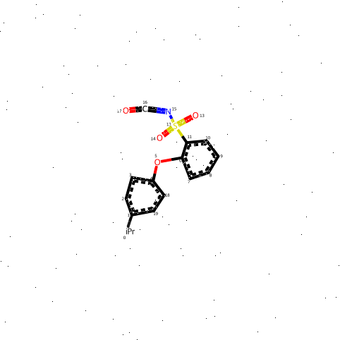 CC(C)c1ccc(Oc2ccccc2S(=O)(=O)N=C=O)cc1